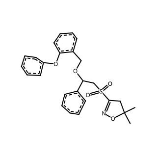 CC1(C)CC(S(=O)(=O)CC(OCc2ccccc2Oc2ccccc2)c2ccccc2)=NO1